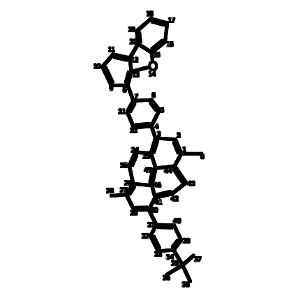 Cc1cc(-c2ccc(-c3cccc4c3oc3ccccc34)cc2)c2ccc3c(C)cc(-c4ccc(C(C)(C)C)cc4)c4ccc1c2c34